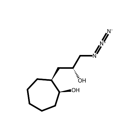 [N-]=[N+]=NC[C@H](O)C[C@@H]1CCCCC[C@@H]1O